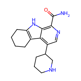 NC(=O)c1ncc(C2CCCNC2)c2c3c([nH]c12)CCCC3